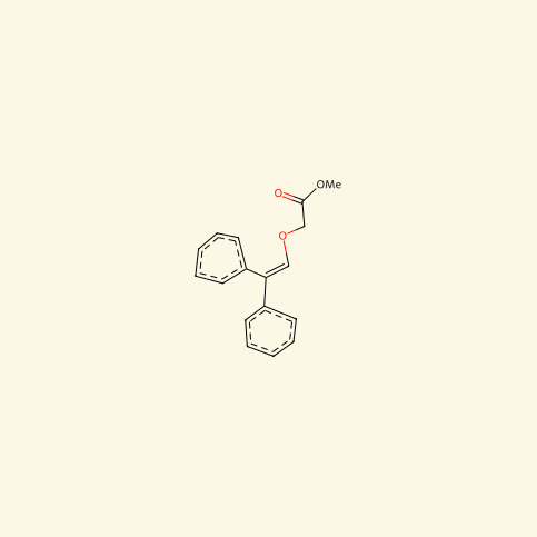 COC(=O)COC=C(c1ccccc1)c1ccccc1